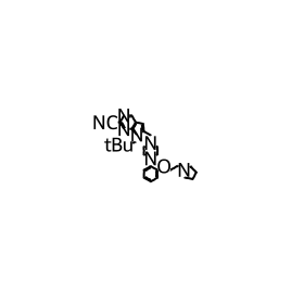 CC(C)(C)Cn1c(CN2CCN(c3ccccc3OCCN3CCCC3)CC2)cc2cnc(C#N)nc21